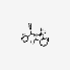 N#CC(NC(=O)c1cccnc1N)c1cccs1